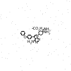 CC(=O)O.NC[C@]1(N)CC[C@@H](n2cc(-c3ccc(Oc4ccccc4)cc3)c3c(N)ncnc32)CC1